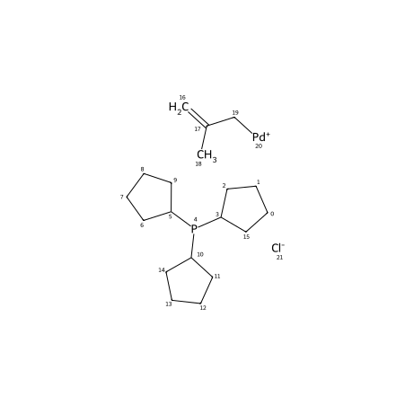 C1CCC(P(C2CCCC2)C2CCCC2)C1.C=C(C)[CH2][Pd+].[Cl-]